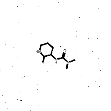 [CH2]C1NCCCC1NC(=O)N(C)C